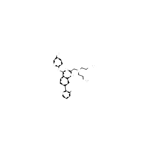 COCCN(CCOC)Cc1nc(Nc2ccc(C(F)(F)F)cn2)c2ccc(-c3ncccc3C(F)(F)F)cc2n1